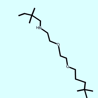 CCC(C)(C)CNCCOCCOCCCC(C)(C)C